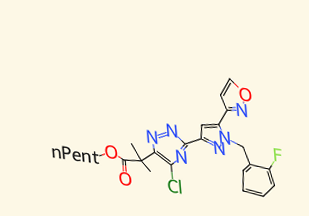 CCCCCOC(=O)C(C)(C)c1nnc(-c2cc(-c3ccon3)n(Cc3ccccc3F)n2)nc1Cl